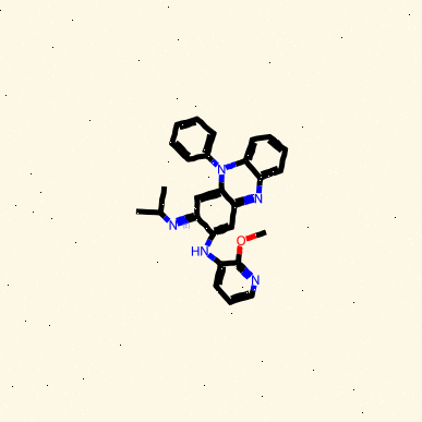 COc1ncccc1Nc1cc2nc3ccccc3n(-c3ccccc3)c-2c/c1=N\C(C)C